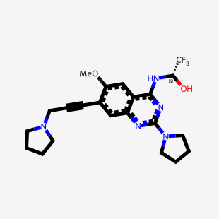 COc1cc2c(N[C@@H](O)C(F)(F)F)nc(N3CCCC3)nc2cc1C#CCN1CCCC1